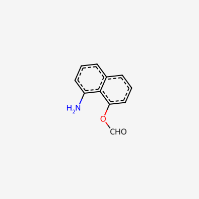 Nc1cccc2cccc(OC=O)c12